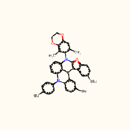 Cc1cc2c(c(C)c1N1c3cccc4c3B(c3cc(C(C)(C)C)ccc3N4c3ccc(C(C)(C)C)cc3)c3c1oc1ccc(C(C)(C)C)cc31)OCCO2